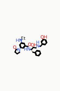 CCNc1cc(C(=O)N[C@@H](Cc2ccccc2)[C@H](O)CNCc2cccc(O)c2)cc(N2CCCC2=O)c1